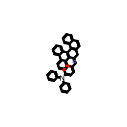 C(=C1\Cc2ccc3ccccc3c2-c2c1c1ccccc1c1ccccc21)/c1ccc(N(c2ccccc2)c2ccccc2)cc1